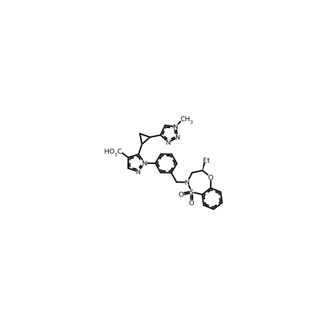 CC[C@@H]1CN(Cc2cccc(-n3ncc(C(=O)O)c3C3CC3c3cn(C)nn3)c2)S(=O)(=O)c2ccccc2O1